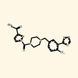 CC(C)(C)OC(=O)c1ccn(C(=O)N2CCN(Cc3ccc(C(F)(F)F)c(-c4nnco4)c3)CC2)n1